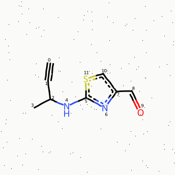 C#CC(C)Nc1nc(C=O)cs1